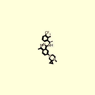 Cc1c([C@@H](C)Nc2nnc(C)c3ccc(N4CCN(C)C5(CC5)C4)cc23)cccc1C(F)(F)F